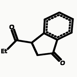 CCC(=O)C1CC(=O)c2ccccc21